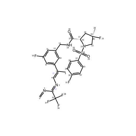 C=N/C(=N\C=C(/C)c1cc(F)cc(CNC(=O)[C@@H]2C[C@@](C)(F)CN2S(=O)(=O)c2ccc(F)cc2)c1)C(F)(F)F